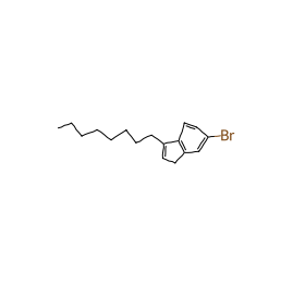 CCCCCCCCC1=CCc2cc(Br)ccc21